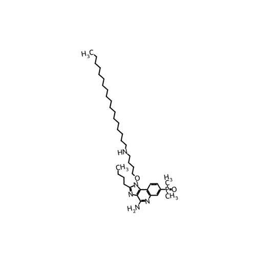 CCCCCCCCCCCCCCCCCCNCCCCOn1c(CCCC)nc2c(N)nc3cc(P(C)(C)=O)ccc3c21